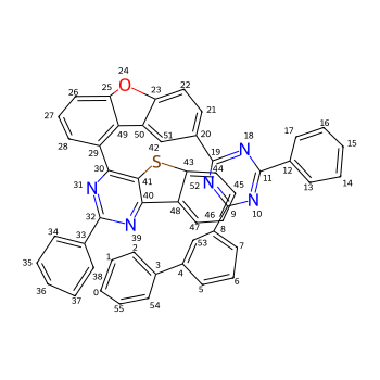 c1ccc(-c2cccc(-c3nc(-c4ccccc4)nc(-c4ccc5oc6cccc(-c7nc(-c8ccccc8)nc8c7sc7ccccc78)c6c5c4)n3)c2)cc1